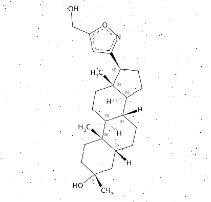 C[C@@]1(O)CC[C@@]2(C)[C@H](CC[C@@H]3[C@@H]2CC[C@]2(C)[C@@H](c4cc(CO)on4)CC[C@@H]32)C1